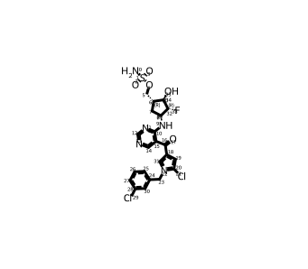 NS(=O)(=O)OC[C@H]1C[C@@H](Nc2ncncc2C(=O)c2cc(Cl)n(Cc3cccc(Cl)c3)c2)[C@@H](F)[C@@H]1O